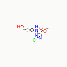 CCOC(=O)c1cnc(Cl)nc1NC1CC2(CC(CO)C2)C1